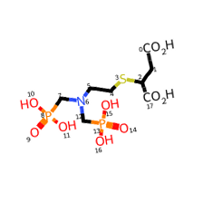 O=C(O)CC(SCCN(CP(=O)(O)O)CP(=O)(O)O)C(=O)O